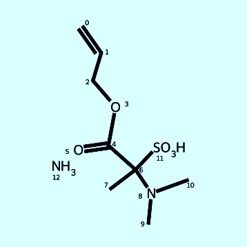 C=CCOC(=O)C(C)(N(C)C)S(=O)(=O)O.N